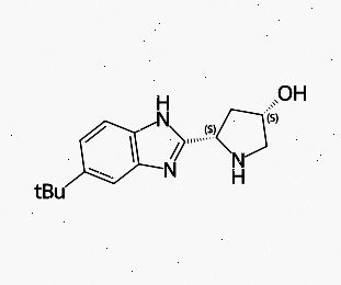 CC(C)(C)c1ccc2[nH]c([C@@H]3C[C@H](O)CN3)nc2c1